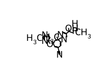 CPCC(O)c1cnc(C2(C)C=CC(C#N)=CC(Oc3ccnc(C)n3)C2)nc1